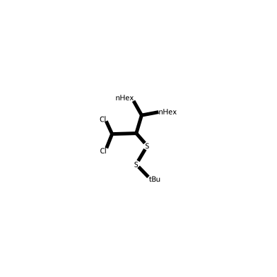 CCCCCCC(CCCCCC)C(SSC(C)(C)C)C(Cl)Cl